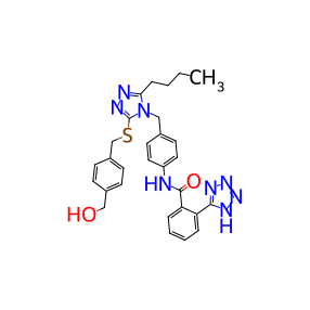 CCCCc1nnc(SCc2ccc(CO)cc2)n1Cc1ccc(NC(=O)c2ccccc2-c2nnn[nH]2)cc1